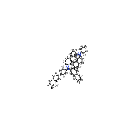 C=C/C=C\c1ccc(-c2ccc(N(C3=CC=CC(c4cccc5c4c4c6ccccc6ccc4n5C4=CCCC=C4)=CC3)c3ccc4ccccc4c3)cc2)cc1C